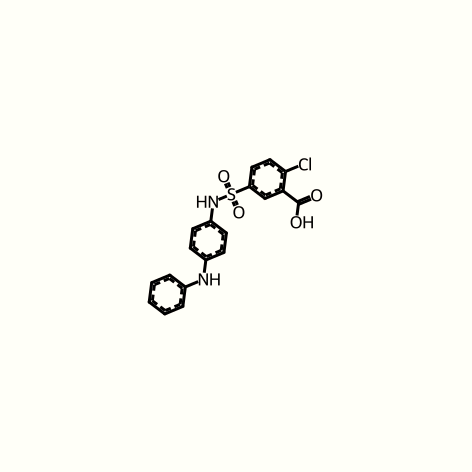 O=C(O)c1cc(S(=O)(=O)Nc2ccc(Nc3ccccc3)cc2)ccc1Cl